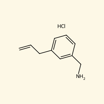 C=CCc1cccc(CN)c1.Cl